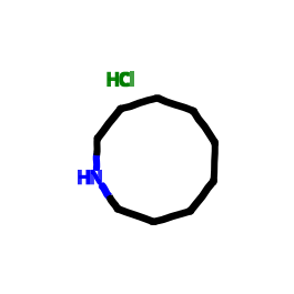 C1CCCCNCCCC1.Cl